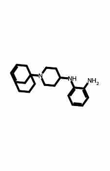 Nc1ccccc1NC1CCN(C23CC=C=C(CCC2)C3)CC1